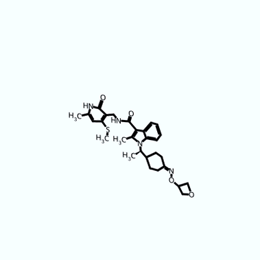 CSc1cc(C)[nH]c(=O)c1CNC(=O)c1c(C)n([C@H](C)C2CCC(=NOC3COC3)CC2)c2ccccc12